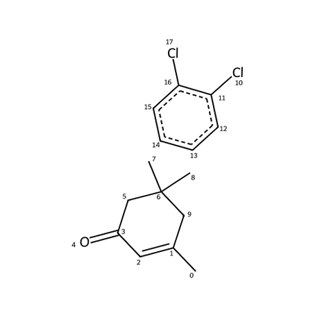 CC1=CC(=O)CC(C)(C)C1.Clc1ccccc1Cl